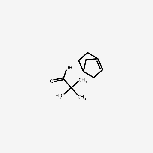 C1=C2CCC(C1)C2.CC(C)(C)C(=O)O